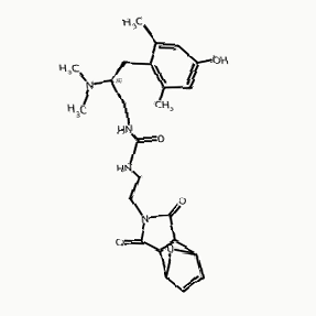 Cc1cc(O)cc(C)c1C[C@@H](CNC(=O)NCCN1C(=O)C2C3C=CC(O3)C2C1=O)N(C)C